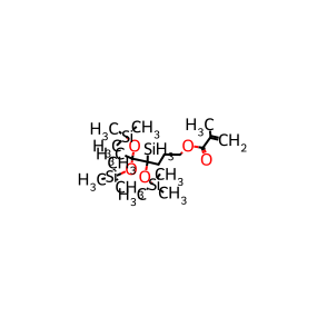 C=C(C)C(=O)OCCCC([SiH3])(O[Si](C)(C)C)C(C)(O[Si](C)(C)C)O[Si](C)(C)C